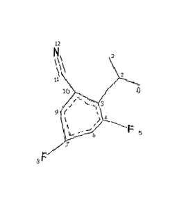 CC(C)c1c(F)cc(F)cc1C#N